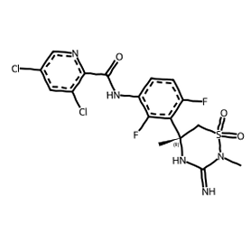 CN1C(=N)N[C@](C)(c2c(F)ccc(NC(=O)c3ncc(Cl)cc3Cl)c2F)CS1(=O)=O